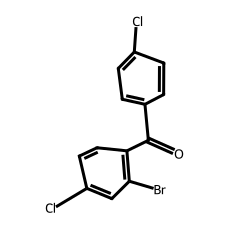 O=C(c1ccc(Cl)cc1)c1ccc(Cl)cc1Br